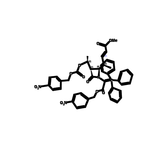 COC(=O)/C=C/[C@@H](C)[C@@H]1[C@@H]([C@@H](C)OC(=O)OCc2ccc([N+](=O)[O-])cc2)C(=O)N1C(C(=O)OCc1ccc([N+](=O)[O-])cc1)=P(c1ccccc1)(c1ccccc1)c1ccccc1